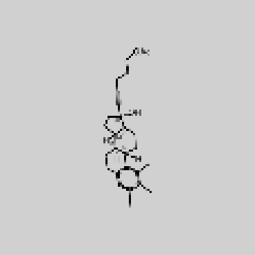 CC(=O)OCCCC#C[C@]1(O)CC[C@H]2[C@@H]3CCc4cc(C)c(C)c(C)c4[C@H]3CC[C@@]21C